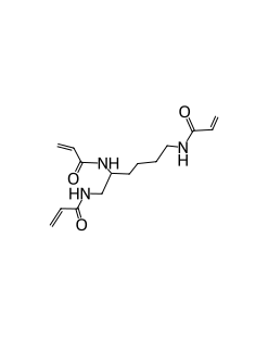 C=CC(=O)NCCCCC(CNC(=O)C=C)NC(=O)C=C